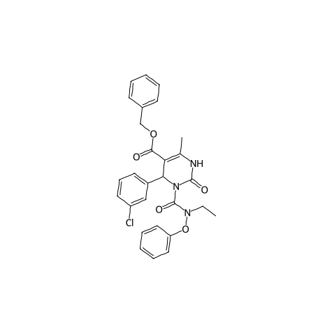 CCN(Oc1ccccc1)C(=O)N1C(=O)NC(C)=C(C(=O)OCc2ccccc2)C1c1cccc(Cl)c1